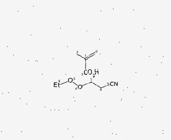 C=C(C)C(=O)O.CCOOCCC#N